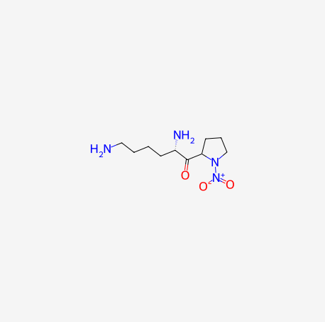 NCCCC[C@H](N)C(=O)C1CCCN1[N+](=O)[O-]